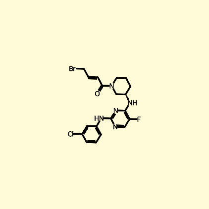 O=C(/C=C/CBr)N1CCC[C@@H](Nc2nc(Nc3cccc(Cl)c3)ncc2F)C1